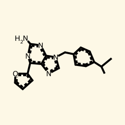 CC(C)c1ccc(Cn2cnc3c(-c4ccco4)nc(N)nc32)cc1